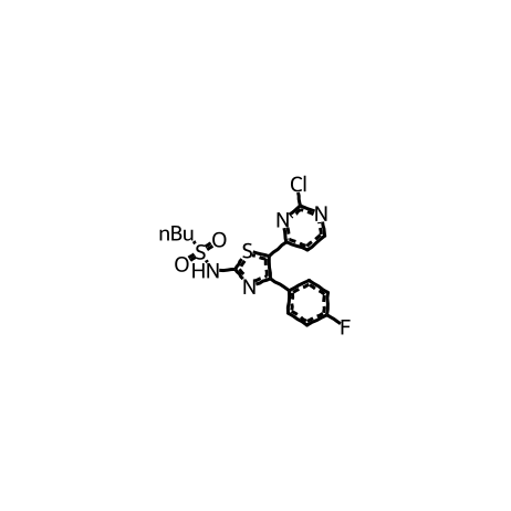 CCCCS(=O)(=O)Nc1nc(-c2ccc(F)cc2)c(-c2ccnc(Cl)n2)s1